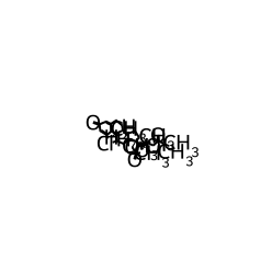 CC(=O)O[C@]1(C(=O)COC(=O)C(C)C)C(C)C[C@H]2[C@@H]3CCC4=CC(=O)C=C[C@]4(C)[C@H]3C(Cl)C[C@@]21C